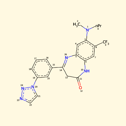 CCCN(C)c1cc2c(cc1C(F)(F)F)NC(=O)CC(c1cccc(-n3ccnn3)c1)=N2